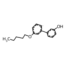 CCCCCOc1cc[c]c(-c2cccc(O)c2)c1